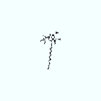 CCCCCCCCCCCCCCC(CCC(CC)N(CC)CC)C(O)(CC(=O)O)C(O)=S